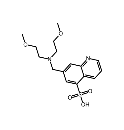 COCCN(CCOC)Cc1cc(S(=O)(=O)O)c2cccnc2c1